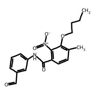 CCCCOc1c(C)ccc(C(=O)Nc2cccc(C=O)c2)c1[N+](=O)[O-]